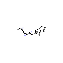 C\C=C/C=C\C=C\[C@H]1CN2CCSC2=N1